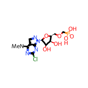 CNc1nc(Cl)nc2c1cnn2[C@@H]1O[C@H](COCP(=O)(O)O)[C@@H](O)[C@H]1O